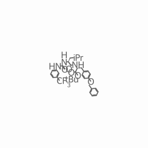 CC(C)C[C@H](NC(=O)Nc1cccc(C(F)(F)F)c1)C(=O)N[C@@H](Cc1ccc(OCc2ccccc2)cc1)C(=O)OC(C)(C)C